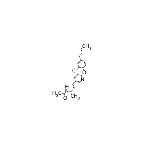 CCCCc1ccc(Oc2ccc(/C=C/[C@H](C)NC(C)=O)cn2)c(Cl)c1